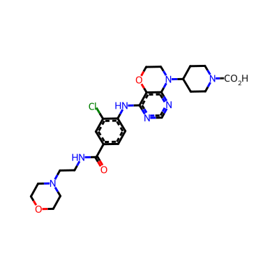 O=C(NCCN1CCOCC1)c1ccc(Nc2ncnc3c2OCCN3C2CCN(C(=O)O)CC2)c(Cl)c1